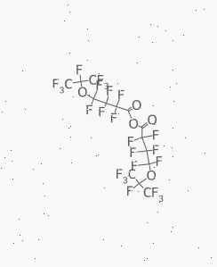 O=C(OC(=O)C(F)(F)C(F)(F)C(F)(F)OC(F)(C(F)(F)F)C(F)(F)F)C(F)(F)C(F)(F)C(F)(F)OC(F)(C(F)(F)F)C(F)(F)F